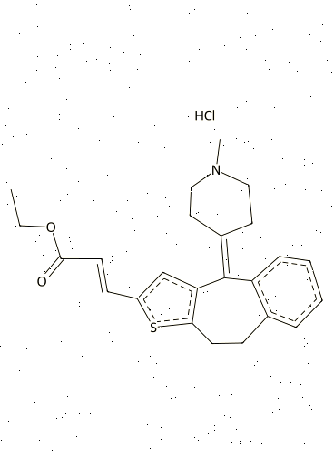 CCOC(=O)C=Cc1cc2c(s1)CCc1ccccc1C2=C1CCN(C)CC1.Cl